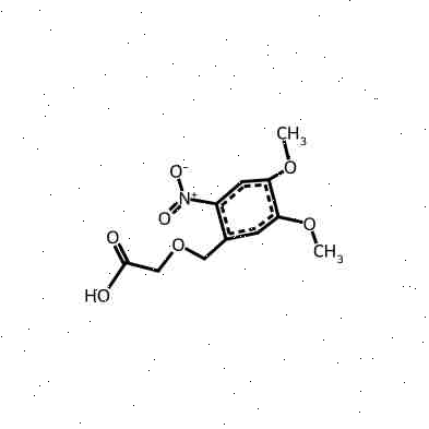 COc1cc(COCC(=O)O)c([N+](=O)[O-])cc1OC